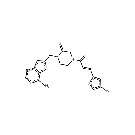 Nc1ncnc2cc(CN3CCN(C(=O)C=Cc4cc(Br)cs4)CC3=O)sc12